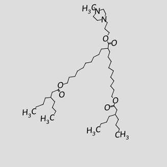 CCCCC(CCCC)CC(=O)OCCCCCCCCCCC(CCCCCCCCCCOC(=O)CC(CCCC)CCCC)C(=O)OCCCN1CCN(C)CC1